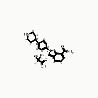 NC(=O)c1cccc2cn(-c3ccc(C4CCNCC4)cc3)nc12.O=C(O)C(F)(F)F